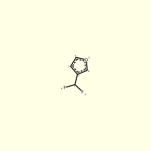 FC(F)c1[c]occ1